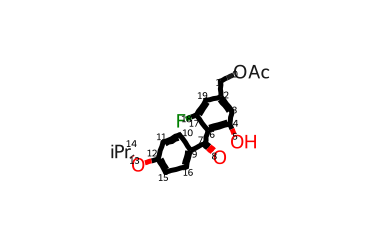 CC(=O)OCc1cc(O)c(C(=O)c2ccc(OC(C)C)cc2)c(F)c1